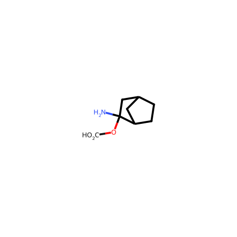 NC1(OC(=O)O)CC2CCC1C2